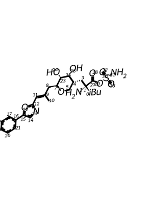 CC[C@H](C)[C@@](N)(C[C@@H]1CO[C@@H](C/C(C)=C/c2ncc(-c3ccccc3)o2)[C@H](O)[C@@H]1O)C(=O)OS(N)(=O)=O